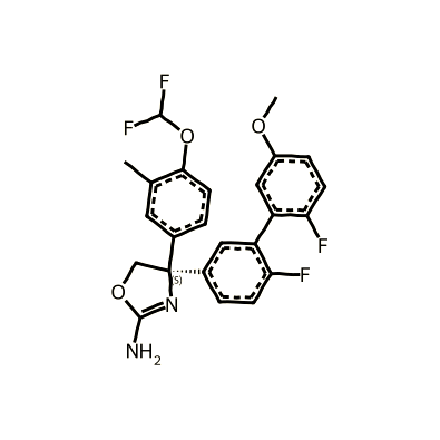 COc1ccc(F)c(-c2cc([C@@]3(c4ccc(OC(F)F)c(C)c4)COC(N)=N3)ccc2F)c1